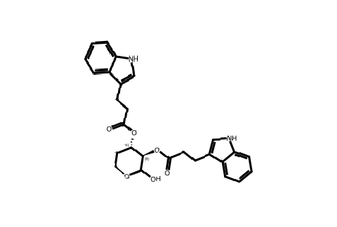 O=C(CCc1c[nH]c2ccccc12)O[C@H]1[CH]COC(O)[C@@H]1OC(=O)CCc1c[nH]c2ccccc12